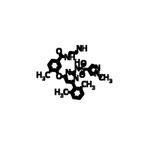 Cc1ccc(C(=O)NCC=N)cc1Oc1cc(-c2c(C)cccc2C)nc(NS(=O)(=O)c2cnn(C)c2)n1